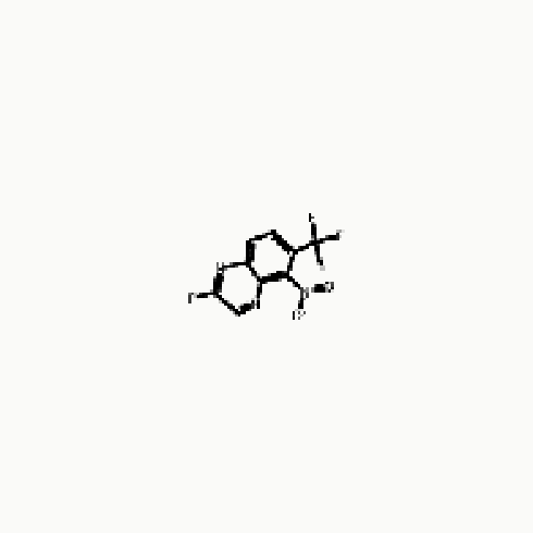 O=[N+]([O-])c1c(C(F)(F)F)ccc2nc(F)cnc12